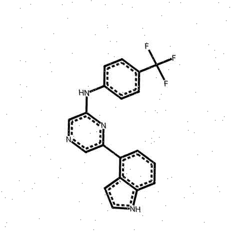 FC(F)(F)c1ccc(Nc2cncc(-c3cccc4[nH]ccc34)n2)cc1